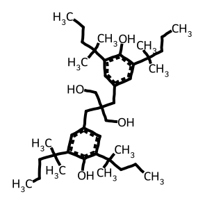 CCCC(C)(C)c1cc(CC(CO)(CO)Cc2cc(C(C)(C)CCC)c(O)c(C(C)(C)CCC)c2)cc(C(C)(C)CCC)c1O